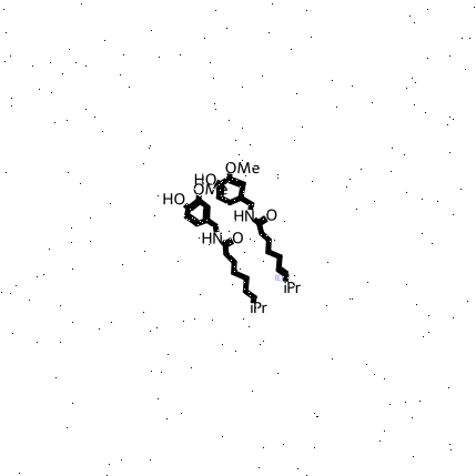 COC1=CC(CNC(=O)CCCC/C=C/C(C)C)CC=C1O.COc1cc(CNC(=O)CCCCCCC(C)C)ccc1O